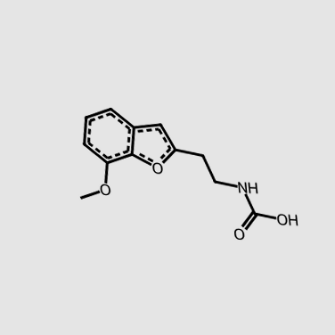 COc1cccc2cc(CCNC(=O)O)oc12